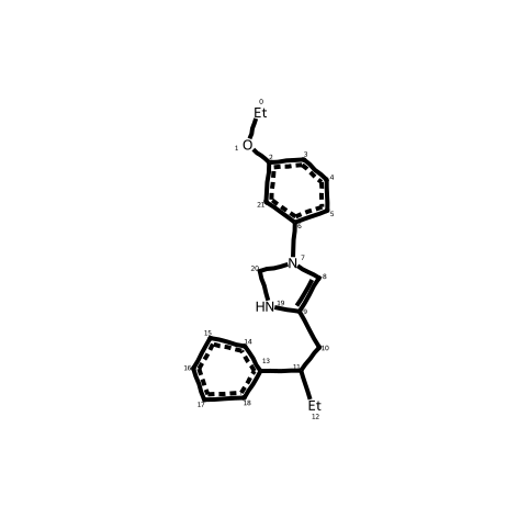 CCOc1cccc(N2C=C(CC(CC)c3ccccc3)NC2)c1